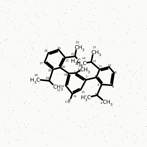 Cc1c(-c2c(C(C)C)cccc2C(C)C)cc(F)cc1-c1c(C(C)C)cccc1C(C)C